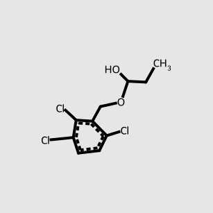 CCC(O)OCc1c(Cl)ccc(Cl)c1Cl